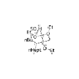 CCCCCCCC(CCCC)C(C)(OCC)C(OCC)(OCC)S(=O)(=O)O